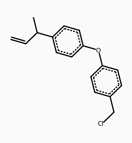 C=CC(C)c1ccc(Oc2ccc(CCl)cc2)cc1